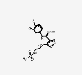 CS(=O)(=O)NCCNc1nonc1/C(=N\O)Nc1ccc(F)c(Cl)c1